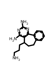 NCCCC1CCc2ccccc2-c2nc(N)nc(N)c21